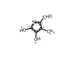 Cc1c(C=O)sc(O)c1O